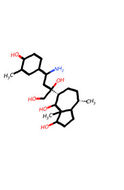 CC1CC(C(N)CC(O)(CO)[C@@H]2CC[C@H](C)C3CCC(O)C3(C)C2O)CCC1O